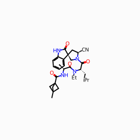 CCN(C(=O)[C@H](C)NC(=O)C12CC(C)(C1)C2)[C@@H](CC(C)C)C(=O)N1C[C@]2(C[C@H]1C#N)C(=O)Nc1ccccc12